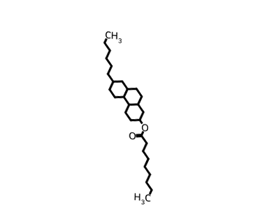 CCCCCCCCC(=O)OC1CCC2C(CCC3CC(CCCCCC)CCC32)C1